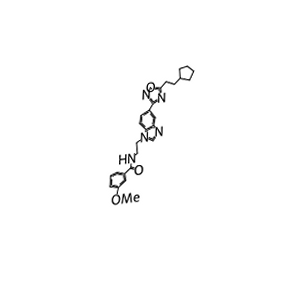 COc1cccc(C(=O)NCCn2cnc3cc(-c4noc(CCC5CCCC5)n4)ccc32)c1